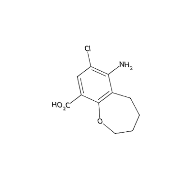 Nc1c(Cl)cc(C(=O)O)c2c1CCCCO2